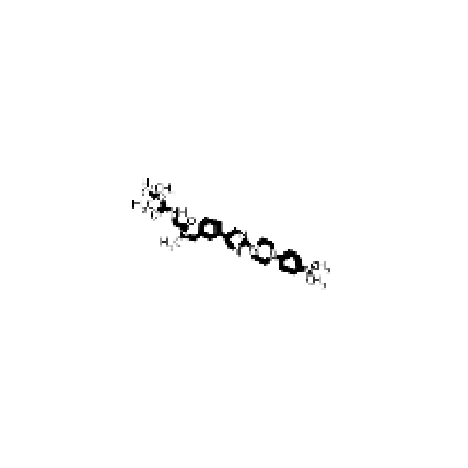 CN(Cc1cccc(-c2cnc(N3CCN(c4ccc(N(C)C)cc4)CC3)nc2)c1)C(=O)CNC(=O)OC(C)(C)C